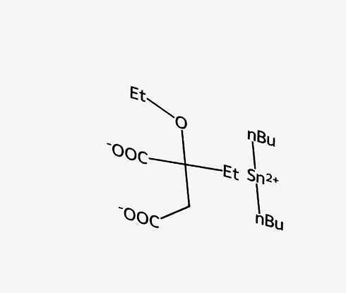 CCC[CH2][Sn+2][CH2]CCC.CCOC(CC)(CC(=O)[O-])C(=O)[O-]